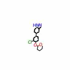 Clc1cc(-c2ccc3[nH]ncc3c2)ccc1OC1CCCCO1